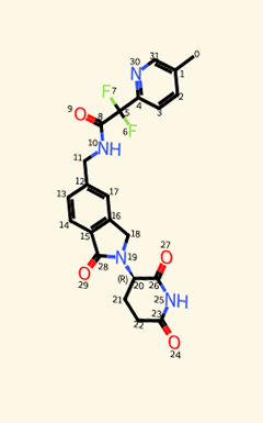 Cc1ccc(C(F)(F)C(=O)NCc2ccc3c(c2)CN([C@@H]2CCC(=O)NC2=O)C3=O)nc1